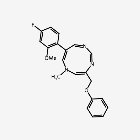 COc1cc(F)ccc1-c1cncnc(COc2ccccc2)cn(C)c1